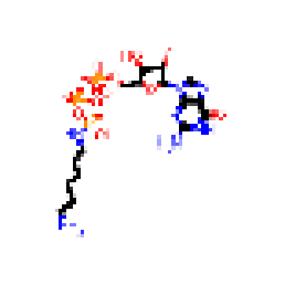 NCCCCCCNP(=O)(O)OP(=O)(O)OP(=O)(O)OCC1OC(n2cnc3c(=O)[nH]c(N)nc32)C(O)C1O